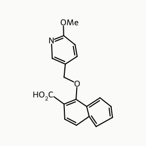 COc1ccc(COc2c(C(=O)O)ccc3ccccc23)cn1